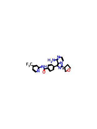 Nc1nccn2c([C@H]3CCOC3)nc(-c3ccc(C(=O)Nc4cc(C(F)(F)F)ccn4)cc3)c12